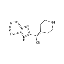 N#CC(=C1CCNCC1)c1nc2ccccc2[nH]1